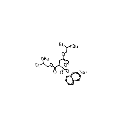 CCCCC(CC)COC(=O)CC(C(=O)OCC(CC)CCCC)S(=O)(=O)[O-].[Na+].c1ccc2ccccc2c1